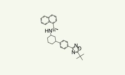 C[C@@H](NC1CCCC(c2ccc(-c3noc(C(C)(C)C)n3)cc2)C1)c1cccc2ccccc12